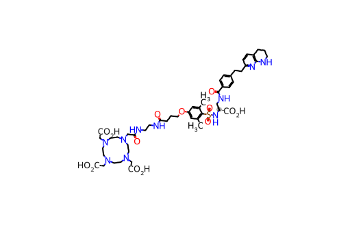 Cc1cc(OCCCC(=O)NCCNC(=O)CN2CCN(CC(=O)O)CCN(CC(=O)O)CCN(CC(=O)O)CC2)cc(C)c1S(=O)(=O)N[C@H](CNC(=O)c1ccc(CCc2ccc3c(n2)NCCC3)cc1)C(=O)O